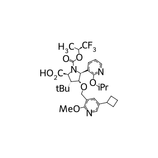 COc1ncc(C2CCC2)cc1CO[C@H]1[C@H](C(C)(C)C)[C@@H](C(=O)O)N(C(=O)O[C@@H](C)C(F)(F)F)[C@H]1c1cccnc1OC(C)C